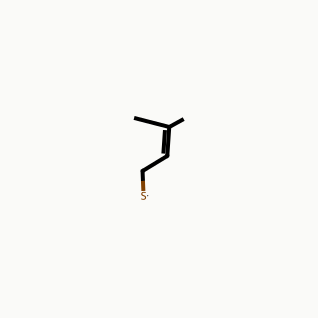 CC(C)=CC[S]